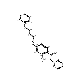 O=C(Cc1ccccc1)c1ccc(OCCCOc2ccccc2)cc1O